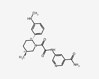 CNc1cccc([C@H]2CC[C@H](C)CN2C(=O)C(=O)Nc2cncc(C(N)=O)c2)c1